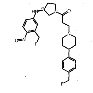 O=Nc1ccc(N[C@H]2CCN(C(=O)CCN3CCC(c4ccc(CF)cc4)CC3)C2)cc1CF